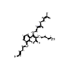 CCC=CCCOc1c(OC/C=C(\C)CCC=C(C)C)c2cccc(OCCC=CCC)c2oc1=O